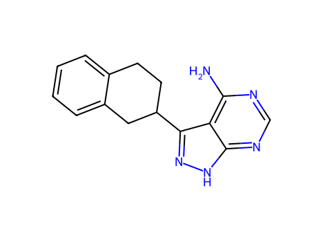 Nc1ncnc2[nH]nc(C3CCc4ccccc4C3)c12